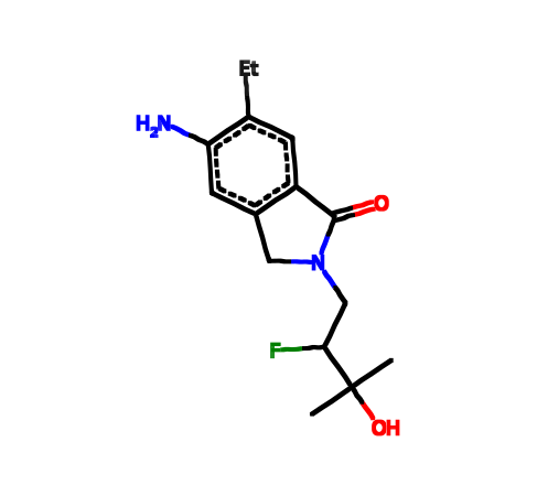 CCc1cc2c(cc1N)CN(CC(F)C(C)(C)O)C2=O